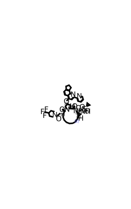 O=C1N[C@]2(C(=O)NS(=O)(=O)C3CC3)C[C@H]2/C=C\CCCCC[C@H](CC(=O)N2CCC(C(F)(F)F)CC2)C(=O)N2C[C@H](Oc3cc(-c4ccccn4)nc4c5c(ccc34)CCC5)C[C@@H]12